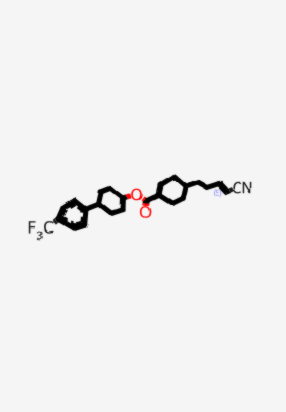 N#C/C=C/CCC1CCC(C(=O)OC2CCC(c3ccc(C(F)(F)F)cc3)CC2)CC1